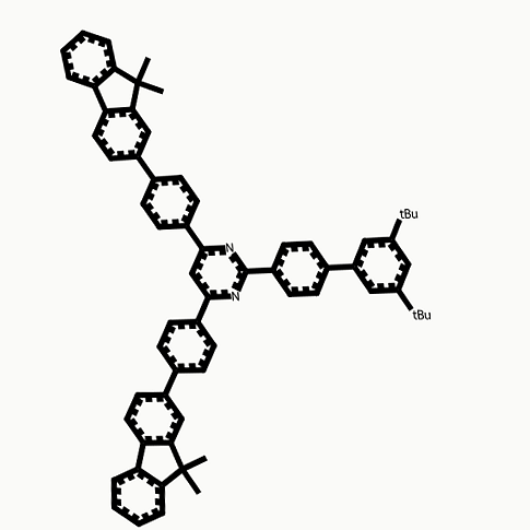 CC(C)(C)c1cc(-c2ccc(-c3nc(-c4ccc(-c5ccc6c(c5)C(C)(C)c5ccccc5-6)cc4)cc(-c4ccc(-c5ccc6c(c5)C(C)(C)c5ccccc5-6)cc4)n3)cc2)cc(C(C)(C)C)c1